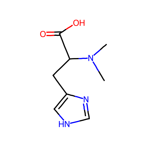 CN(C)C(Cc1c[nH]cn1)C(=O)O